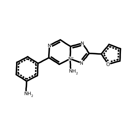 Nc1cccc(C2=C[N+]3(N)N=C(c4ccco4)N=C3C=N2)c1